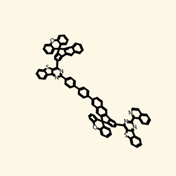 c1ccc2c(c1)Oc1ccccc1C21c2ccc(-c3nc(-c4ccc(-c5ccc(-c6ccc7cc8c(cc7c6)C6(c7ccccc7Oc7ccccc76)c6ccc(-c7nc(-c9nccc%10ccccc9%10)nc9c7sc7ccccc79)cc6-8)cc5)cc4)nc4c3sc3ccccc34)cc2-c2cc3ccccc3cc21